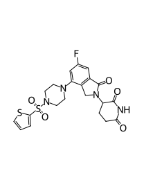 O=C1CCC(N2Cc3c(cc(F)cc3N3CCN(S(=O)(=O)c4cccs4)CC3)C2=O)C(=O)N1